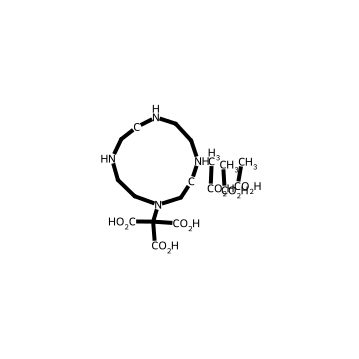 CC(=O)O.CC(=O)O.CC(=O)O.O=C(O)C(C(=O)O)(C(=O)O)N1CCNCCNCCNCC1